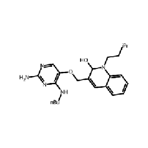 CCCCNc1nc(N)ncc1OCC1=Cc2ccccc2N(CCC(C)C)C1O